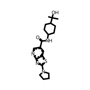 CC(C)(O)C1CCC(NC(=O)c2cnc3nc(N4CCCC4)sc3c2)CC1